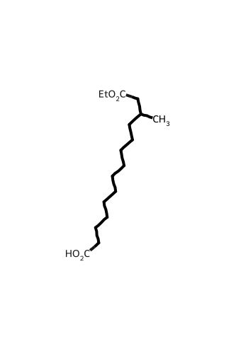 CCOC(=O)CC(C)CCCCCCCCCCC(=O)O